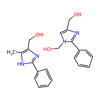 Cc1[nH]c(-c2ccccc2)nc1CO.OCc1cn(CO)c(-c2ccccc2)n1